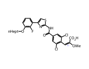 CCCCCCCOc1cccc(-c2csc(NC(=O)c3cc(Cl)c(/C=C(/OC)C(=O)O)c(Cl)c3)n2)c1F